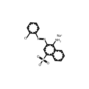 Nc1c(N=Nc2ccccc2Cl)cc(S(=O)(=O)[O-])c2ccccc12.[Na+]